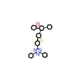 c1ccc(-c2cc(-c3ccc4c(c3)sc3cc(-c5nc(-c6ccccc6)nc(-c6ccccc6)n5)ccc34)c3c(c2)oc2ccccc23)cc1